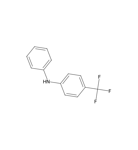 FC(F)(F)c1ccc(Nc2ccccc2)cc1